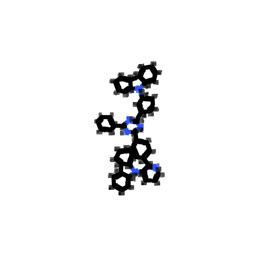 c1ccc(-c2nc(-c3ccc(-c4ncccc4-n4c5ccccc5c5ccccc54)cc3)nc(-c3cccc(-n4c5ccccc5c5ccccc54)c3)n2)cc1